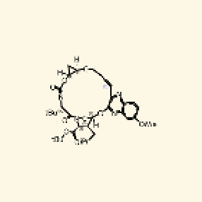 COc1ccc2nc3c(nc2c1)O[C@H]1CN(C(=O)[C@H](C(C)(C)C)NC(=O)O[C@@H]2C[C@H]2CCC/C=C/3)[C@H](C(=O)OC(C)(C)C)[C@@H]1CC(C)C